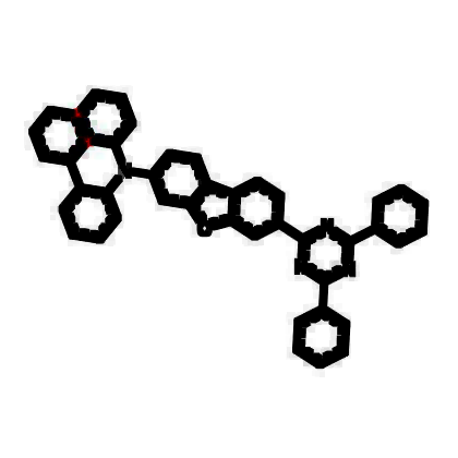 c1ccc(-c2nc(-c3ccccc3)nc(-c3ccc4c(c3)oc3cc(N(c5ccccc5)c5ccccc5-c5ccccc5)ccc34)n2)cc1